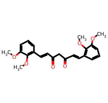 COc1cccc(/C=C/C(=O)CC(=O)/C=C/c2cccc(OC)c2OC)c1OC